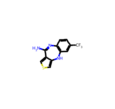 NC1=Nc2ccc(C(F)(F)F)cc2Nc2cscc21